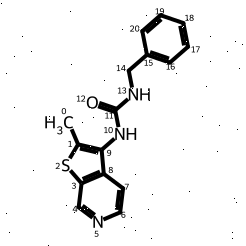 Cc1sc2cnccc2c1NC(=O)NCc1ccccc1